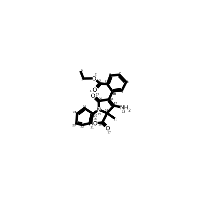 CCOC(=O)c1ccccc1C1=C(N)C(C)(C(=O)O)N(c2ccccc2)C1=O